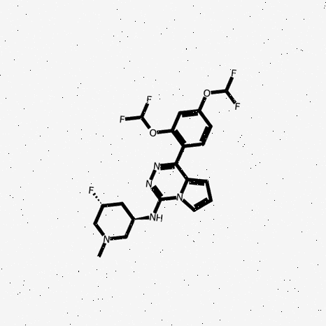 CN1C[C@H](F)C[C@@H](Nc2nnc(-c3ccc(OC(F)F)cc3OC(F)F)c3cccn23)C1